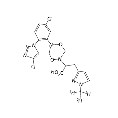 [2H]C([2H])([2H])n1ccc(CC(C(=O)O)N2CON(c3cc(Cl)ccc3-n3cc(Cl)nn3)CO2)n1